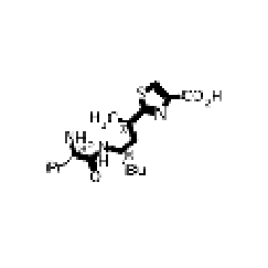 CCC(C)[C@@H](C[C@@H](C)c1nc(C(=O)O)cs1)NC(=O)[C@@H](N)C(C)C